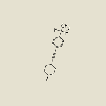 C[C@H]1CC[C@H](C#Cc2ccc(C(F)(F)C(F)(F)F)cc2)CC1